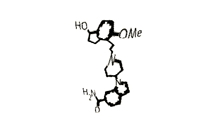 COc1ccc2c(c1CCN1CCC(n3ccc4ccc(C(N)=O)cc43)CC1)CCC2O